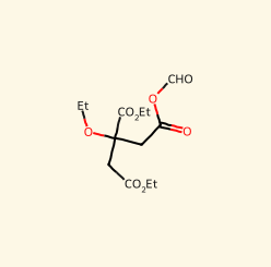 CCOC(=O)CC(CC(=O)OC=O)(OCC)C(=O)OCC